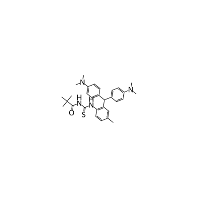 Cc1ccc(NC(=S)NC(=O)C(C)(C)C)c(C(c2ccc(N(C)C)cc2)c2ccc(N(C)C)cc2)c1